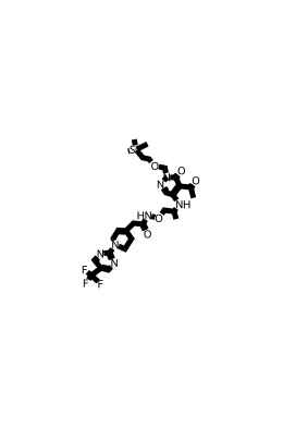 CC(=O)c1c(NC(C)CONC(=O)CC2=CCN(c3ncc(C(F)(F)F)cn3)CC2)cnn(COCC[Si](C)(C)C)c1=O